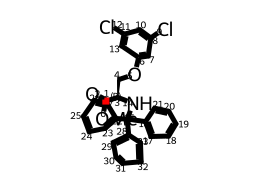 COC(=O)[C@@H](COc1cc(Cl)cc(Cl)c1)NC(c1ccccc1)(c1ccccc1)c1ccccc1